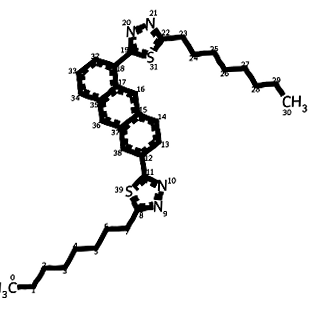 CCCCCCCCc1nnc(-c2ccc3cc4c(-c5nnc(CCCCCCCC)s5)cccc4cc3c2)s1